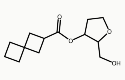 O=C(OC1CCOC1CO)C1CC2(CCC2)C1